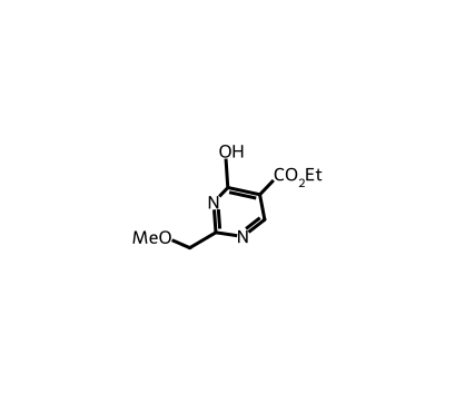 CCOC(=O)c1cnc(COC)nc1O